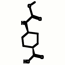 COC(=O)N[C@H]1CC[C@H](C(=O)O)CC1